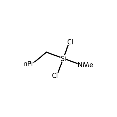 CCCC[Si](Cl)(Cl)NC